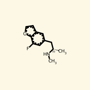 CN[C@@H](C)Cc1cc(F)c2occc2c1